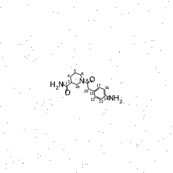 NC(=O)C1CCCN(C(=O)Cc2ccc(N)cc2)C1